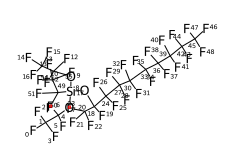 FC(F)(F)C(F)(F)O[Si](OC(F)(F)C(F)(F)F)(OC(F)(C(F)(F)F)C(F)(F)C(F)(F)C(F)(F)C(F)(F)C(F)(F)C(F)(F)C(F)(F)C(F)(F)F)C(F)(F)C(F)(F)F